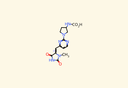 CN1C(=O)NC(=O)/C1=C/c1ccnc(N2CCC(NC(=O)O)C2)n1